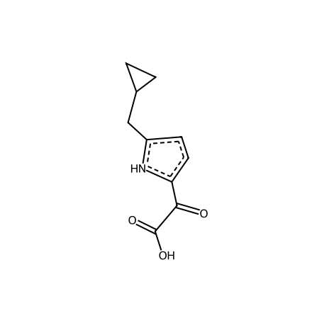 O=C(O)C(=O)c1ccc(CC2CC2)[nH]1